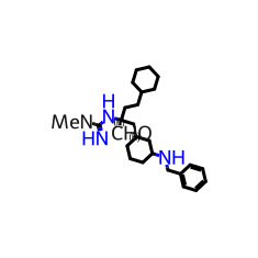 CNC(=N)N[C@](C=O)(CCC1CCCCC1)C[C@@H]1CCCC(NCc2ccccc2)C1